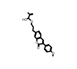 C=C(C)C(O)OCCCc1ccc2cc(-c3ccc(OC)cc3)c(=O)oc2c1